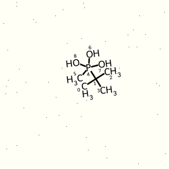 CC(C)(C)P(C)(O)(O)O